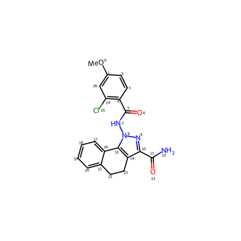 COc1ccc(C(=O)Nn2nc(C(N)=O)c3c2-c2ccccc2CC3)c(Cl)c1